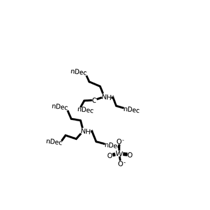 CCCCCCCCCCCC[NH+](CCCCCCCCCCCC)CCCCCCCCCCCC.CCCCCCCCCCCC[NH+](CCCCCCCCCCCC)CCCCCCCCCCCC.[O]=[W](=[O])([O-])[O-]